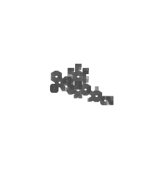 Cc1cc(C#N)cc(C)c1-c1ccc2c(c1)C(C)(C)c1cc(C=C3C(=O)c4ccccc4C3=O)sc1N2c1c(F)c(F)c(F)c(F)c1F